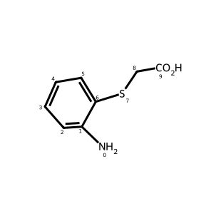 Nc1ccccc1SCC(=O)O